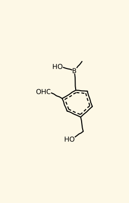 CB(O)c1ccc(CO)cc1C=O